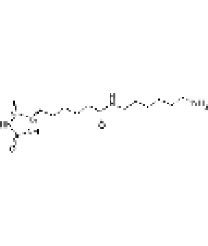 C[C@@H]1NC(=O)N[C@@H]1CCCCCC(=O)NCCCCCCN